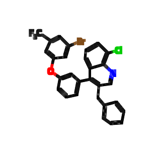 FC(F)(F)c1cc(Br)cc(Oc2cccc(-c3c(Cc4ccccc4)cnc4c(Cl)cccc34)c2)c1